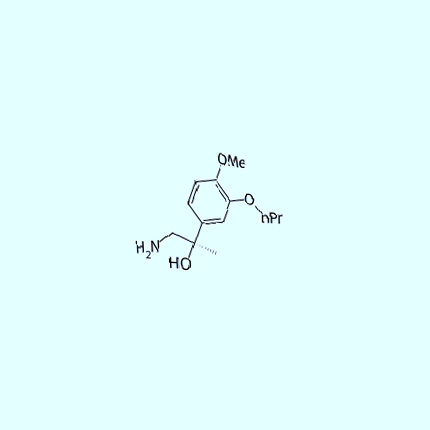 CCCOc1cc([C@@](C)(O)CN)ccc1OC